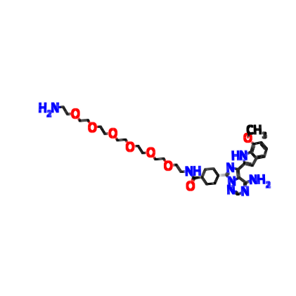 COc1cccc2cc(-c3nc([C@H]4CC[C@H](C(=O)NCCOCCOCCOCCOCCOCCOCCN)CC4)n4ncnc(N)c34)[nH]c12